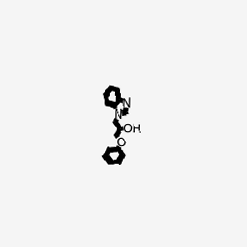 OC(COc1ccccc1)Cn1cnc2ccccc21